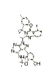 Cc1cccc(C2(n3c(C(C)n4nc(-c5ccc(O)c6c5CC(C)(C)O6)c5c(N)ncnc54)nc4cccc(C)c4c3=O)CC2)c1